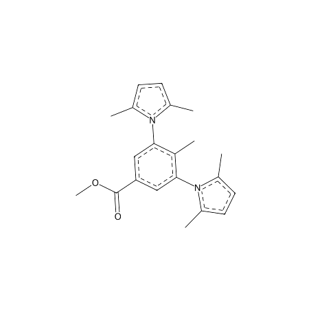 COC(=O)c1cc(-n2c(C)ccc2C)c(C)c(-n2c(C)ccc2C)c1